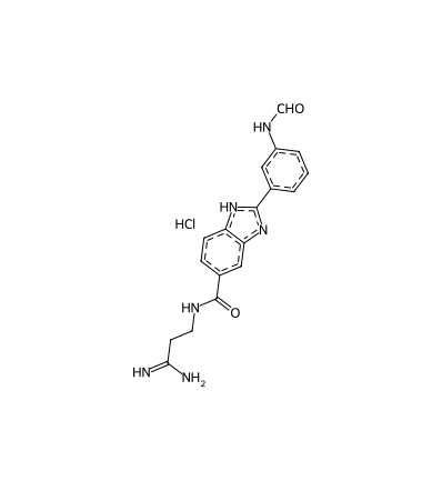 Cl.N=C(N)CCNC(=O)c1ccc2[nH]c(-c3cccc(NC=O)c3)nc2c1